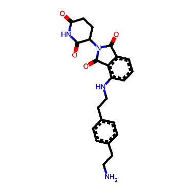 NCCc1ccc(CCNc2cccc3c2C(=O)N(C2CCC(=O)NC2=O)C3=O)cc1